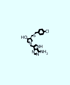 Nc1ncnc2c(CN3CC(O)[C@@H](CSCc4ccc(Cl)cc4)C3)c[nH]c12